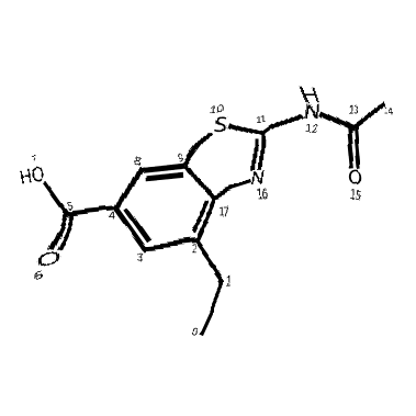 CCc1cc(C(=O)O)cc2sc(NC(C)=O)nc12